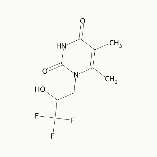 Cc1c(C)n(CC(O)C(F)(F)F)c(=O)[nH]c1=O